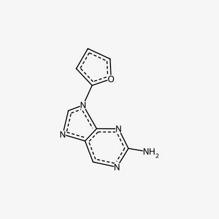 Nc1ncc2ncn(-c3ccco3)c2n1